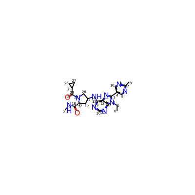 CCn1c(-c2cnc(C)nc2)nc2c(NC3C[C@@H](C(=O)NC)N(C(=O)C4CC4)C3)ncnc21